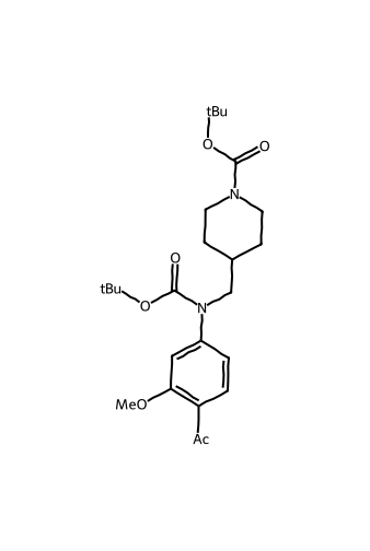 COc1cc(N(CC2CCN(C(=O)OC(C)(C)C)CC2)C(=O)OC(C)(C)C)ccc1C(C)=O